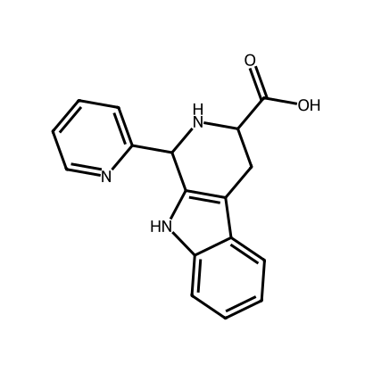 O=C(O)C1Cc2c([nH]c3ccccc23)C(c2ccccn2)N1